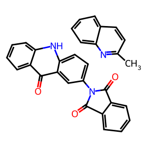 Cc1ccc2ccccc2n1.O=C1c2ccccc2C(=O)N1c1ccc2[nH]c3ccccc3c(=O)c2c1